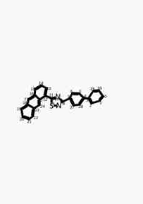 c1ccc(-c2ccc(-c3nsc(-c4cccc5cc6ccccc6cc45)n3)cc2)cc1